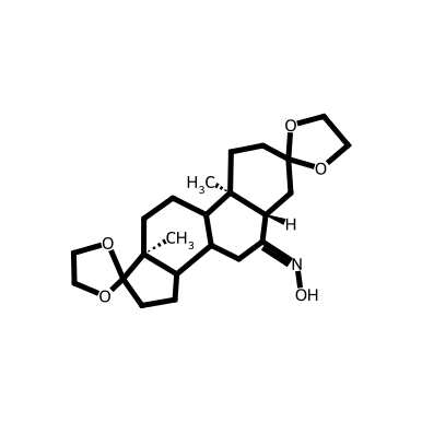 C[C@]12CCC3C(C/C(=N\O)[C@H]4CC5(CC[C@]34C)OCCO5)C1CCC21OCCO1